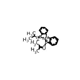 CC(C)OB1c2ccccc2N2c3ccccc3B(OC(C)C)N12